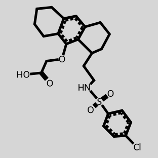 O=C(O)COc1c2c(cc3c1C(CCNS(=O)(=O)c1ccc(Cl)cc1)CCC3)CCCC2